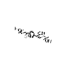 CC(C)(O)CCC(O)c1ccc(C(O)CCC(C)(C)O)cc1